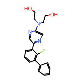 OCCN(CCO)c1cnc(-c2cccc(-c3ccccc3)c2F)cn1